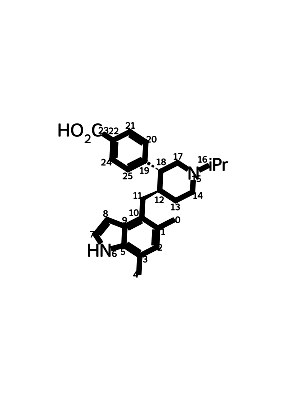 Cc1cc(C)c2[nH]ccc2c1C[C@@H]1CCN(C(C)C)C[C@H]1c1ccc(C(=O)O)cc1